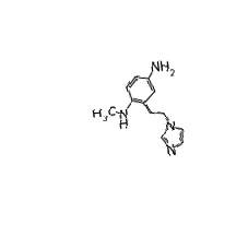 CNc1ccc(N)cc1CCn1ccnc1